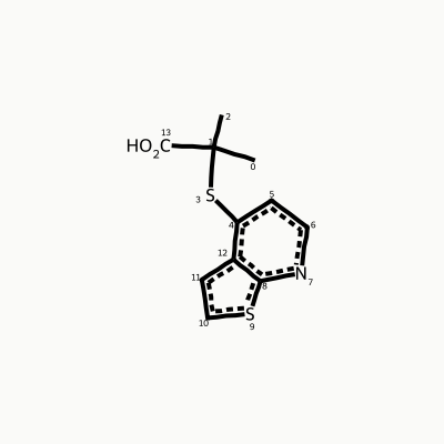 CC(C)(Sc1ccnc2sccc12)C(=O)O